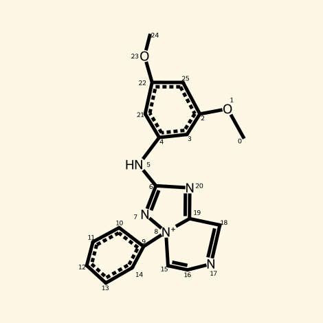 COc1cc(NC2=N[N+]3(c4ccccc4)C=CN=CC3=N2)cc(OC)c1